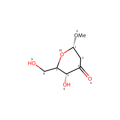 CO[C@@H]1CC(=O)[C@H](O)C(CO)O1